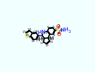 NS(=O)(=O)c1ccc2c(c1)[C@H]1C=CC[C@H]1[C@@H](c1ccc3sccc3c1)N2